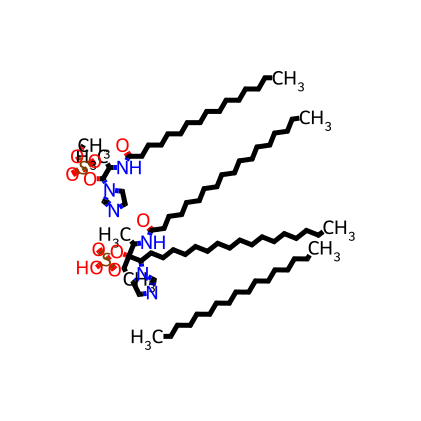 CCCCCCCCCCCCCCCC(=O)NC(C)C(OS(=O)(=O)OC)N1C=NCC1.CCCCCCCCCCCCCCCCC.CCCCCCCCCCCCCCCCCC(=O)NC(C)C(CC)(OS(=O)(=O)O)C(CCCCCCCCCCCCCCCCC)N1C=NCC1